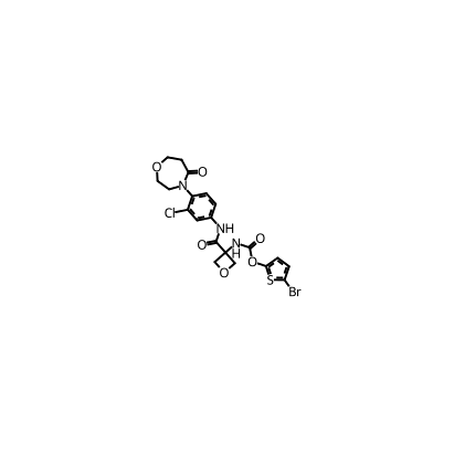 O=C(NC1(C(=O)Nc2ccc(N3CCOCCC3=O)c(Cl)c2)COC1)Oc1ccc(Br)s1